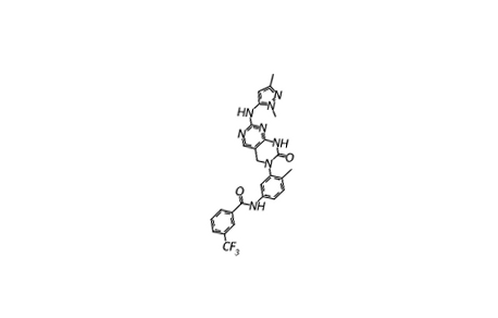 Cc1cc(Nc2ncc3c(n2)NC(=O)N(c2cc(NC(=O)c4cccc(C(F)(F)F)c4)ccc2C)C3)n(C)n1